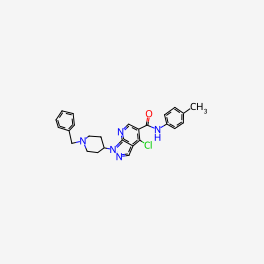 Cc1ccc(NC(=O)c2cnc3c(cnn3C3CCN(Cc4ccccc4)CC3)c2Cl)cc1